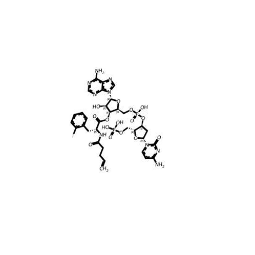 C=CCCC(=O)N[C@H](Cc1ccccc1I)C(=O)O[C@H]1[C@@H](O)[C@H](n2cnc3c(N)ncnc32)O[C@H]1COP(=O)(O)O[C@H]1C[C@H](n2ccc(N)nc2=O)O[C@@H]1COP(=O)(O)O